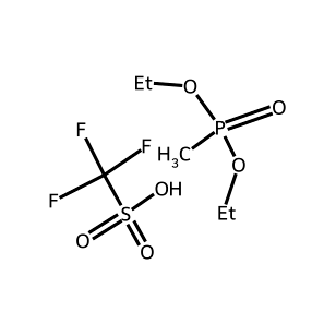 CCOP(C)(=O)OCC.O=S(=O)(O)C(F)(F)F